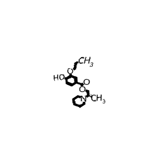 CCCOc1cc(C(=O)OC[C@H](C)N2CCCCC2)ccc1O